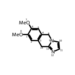 COc1cc2c(cc1OC)Cn1ccnc1C2